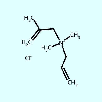 C=CC[N+](C)(C)CC(=C)C.[Cl-]